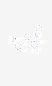 COc1ccccc1C1c2cc(C(N)=O)ccc2CCN1c1nc(-c2nc3ccccc3o2)c(O)c(=O)n1C